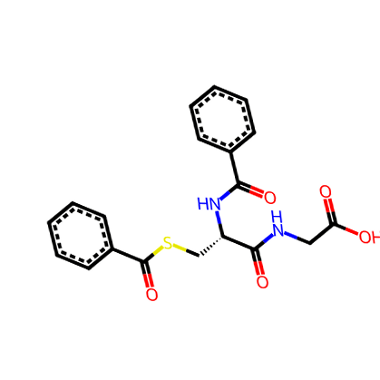 O=C(O)CNC(=O)[C@H](CSC(=O)c1ccccc1)NC(=O)c1ccccc1